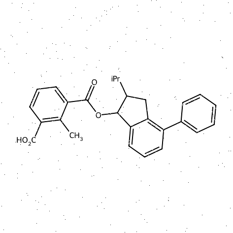 Cc1c(C(=O)O)cccc1C(=O)OC1c2cccc(-c3ccccc3)c2CC1C(C)C